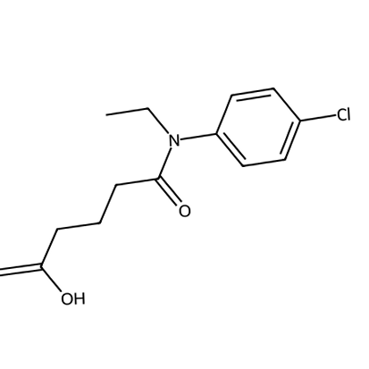 C=C(O)CCCC(=O)N(CC)c1ccc(Cl)cc1